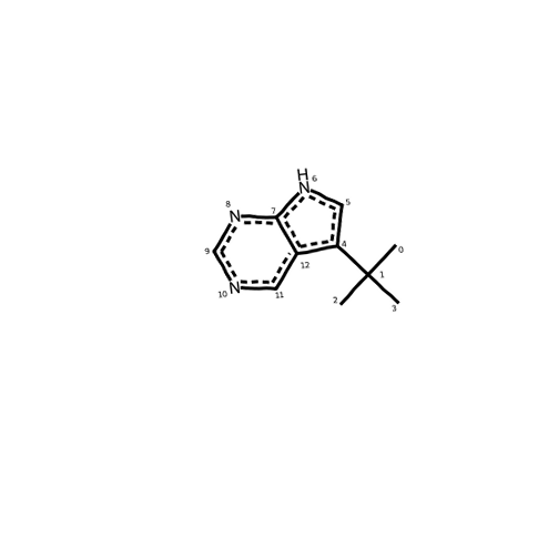 CC(C)(C)c1c[nH]c2ncncc12